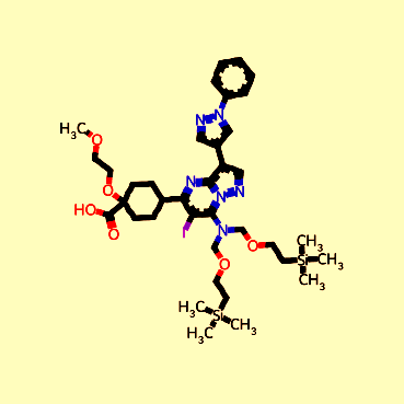 COCCOC1(C(=O)O)CCC(c2nc3c(-c4cnn(-c5ccccc5)c4)cnn3c(N(COCC[Si](C)(C)C)COCC[Si](C)(C)C)c2I)CC1